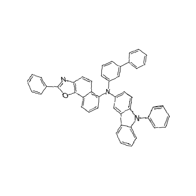 c1ccc(-c2cccc(N(c3ccc4c(c3)c3ccccc3n4-c3ccccc3)c3cccc4c3ccc3nc(-c5ccccc5)oc34)c2)cc1